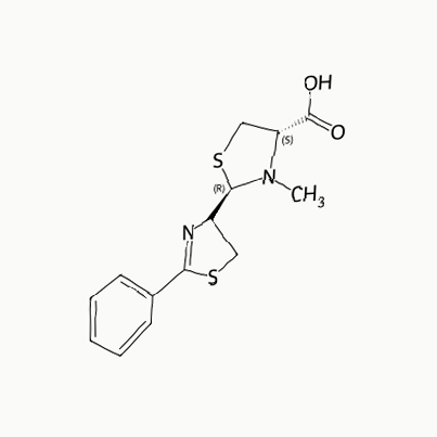 CN1[C@@H](C(=O)O)CS[C@@H]1C1CSC(c2ccccc2)=N1